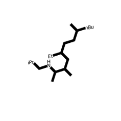 CCCCC(C)CCC(CC)CC(C)C(C)NCC(C)C